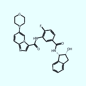 O=C(N[C@H]1c2ccccc2C[C@H]1O)c1ccc(F)c(NC(=O)c2cnc3ccc(N4CCOCC4)cn23)c1